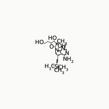 C[C@@]1(O)C(O)C(CCO)OC1n1cc(C#C[Si](C)(C)C)c2c(N)ncnc21